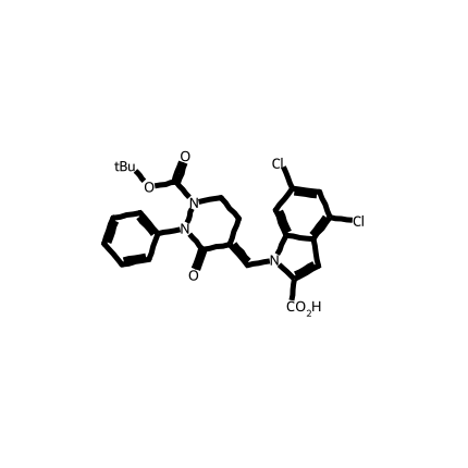 CC(C)(C)OC(=O)N1CCC(=Cn2c(C(=O)O)cc3c(Cl)cc(Cl)cc32)C(=O)N1c1ccccc1